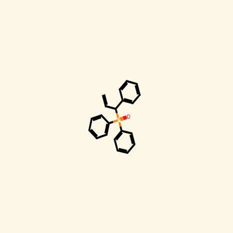 C=CC(c1ccccc1)P(=O)(c1ccccc1)c1ccccc1